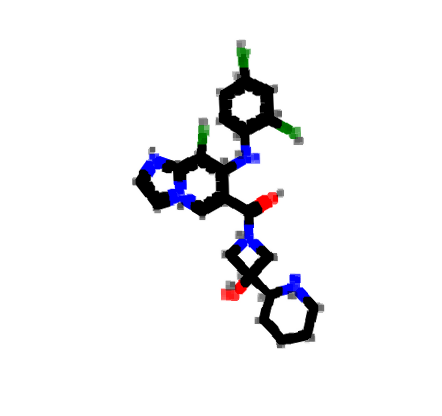 O=C(c1cn2ccnc2c(Cl)c1Nc1ccc(Br)cc1Cl)N1CC(O)([C@@H]2CCCCN2)C1